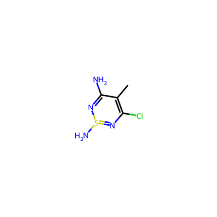 CC1=C(Cl)N=S(N)N=C1N